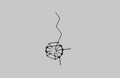 BrCCC[C]12[CH]3[CH]4[C]5(Br)[C]1(Br)[Fe]43521678[CH]2[CH]1[CH]6[CH]7[CH]28